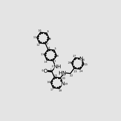 O=C(Nc1ccc(-c2ccccc2)cc1)c1cccnc1NCc1ccncc1